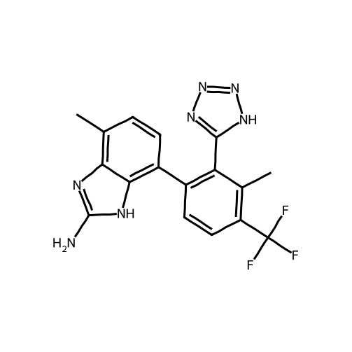 Cc1c(C(F)(F)F)ccc(-c2ccc(C)c3nc(N)[nH]c23)c1-c1nnn[nH]1